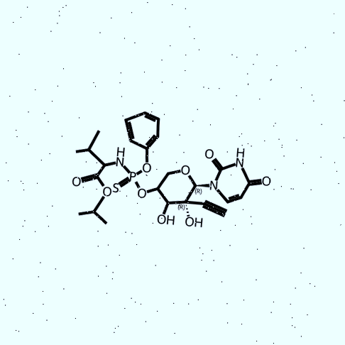 C#C[C@@]1(O)C(O)C(OP(=S)(NC(C(=O)OC(C)C)C(C)C)Oc2ccccc2)CO[C@H]1n1ccc(=O)[nH]c1=O